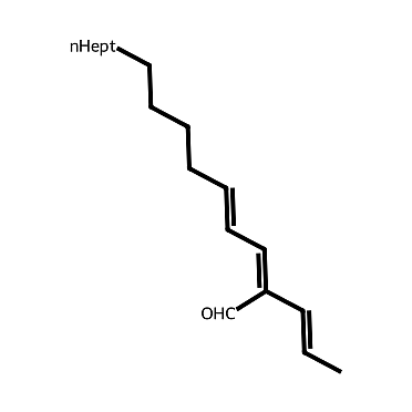 C/C=C/C(C=O)=C/C=C/CCCCCCCCCCC